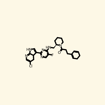 O=C(CCC1=CCCC=C1)N1CCCC[C@@H]1CNc1nc(C2=CNC3=NC=C(Cl)CC23)ncc1F